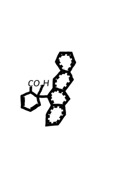 CC1(c2c3ccccc3cc3cc4ccccc4cc23)C=CC=CC1C(=O)O